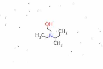 CCC(C)N(CC)CCO